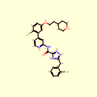 O=C(Nc1cc(-c2cc(OCCC3CCOCC3)ccc2F)ccn1)c1nnc(Cc2ccccc2F)[nH]1